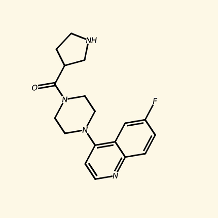 O=C(C1CCNC1)N1CCN(c2ccnc3ccc(F)cc23)CC1